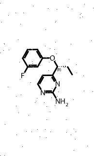 CC[C@@H](Oc1cccc(F)c1)c1ccnc(N)n1